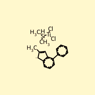 CC1=Cc2c(cccc2-c2ccccc2)[CH]1.C[SiH](C)[Ti]([Cl])[Cl]